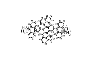 C[Si]1(C)c2ccccc2N(c2ccc3c(-c4nccc5ccccc45)c4cc(N5c6ccccc6[Si](C)(C)c6ccccc65)ccc4c(-c4nccc5ccccc45)c3c2)c2ccccc21